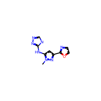 Cn1nc(-c2ncco2)cc1NC1=NN=C[N]1